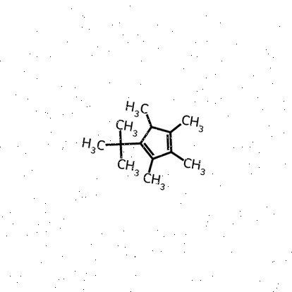 CC1=C(C)C(C)C(C(C)(C)C)=C1C